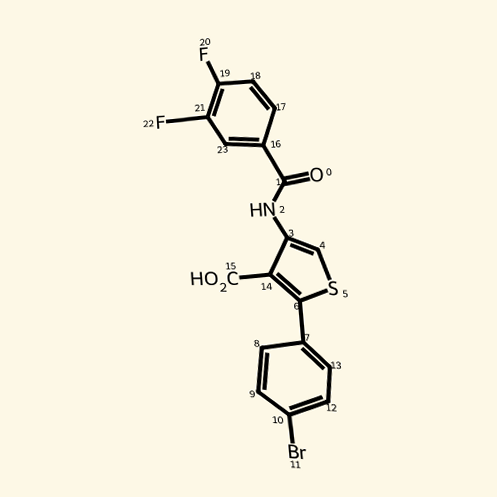 O=C(Nc1csc(-c2ccc(Br)cc2)c1C(=O)O)c1ccc(F)c(F)c1